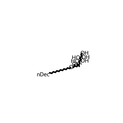 CCCCCCCCCCCCCCCCCCCCCCOCC(O)C[N+](C)(C)C[C@H](O)[C@@H](O)[C@H](O)[C@H](O)CO